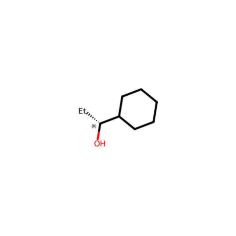 CC[C@@H](O)C1CCCCC1